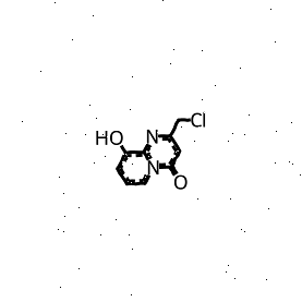 O=c1cc(CCl)nc2c(O)cccn12